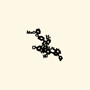 COc1ccccc1Oc1ccc(C2=C[N+](c3cc(Cl)ccc3C(=O)Nc3ccc(-c4cn(C5CCCC5)c5ncnc(N)c45)cc3O)(C3CCCC3)c3ncnc(N)c32)cc1